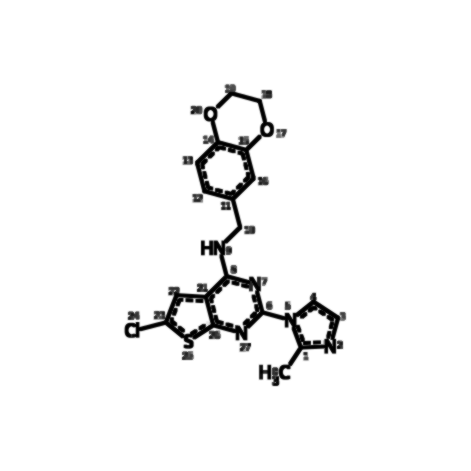 Cc1nccn1-c1nc(NCc2ccc3c(c2)OCCO3)c2cc(Cl)sc2n1